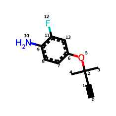 C#CC(C)(C)Oc1ccc(N)c(F)c1